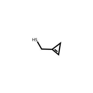 SCC1=CC1